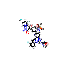 CNC(=O)c1c(-c2ccc(F)cc2F)oc2cc(N(C)S(C)(=O)=O)c(-c3ccc4nc(CN5CC6CC5CO6)n5c6cccc(F)c6cc5c4n3)cc12